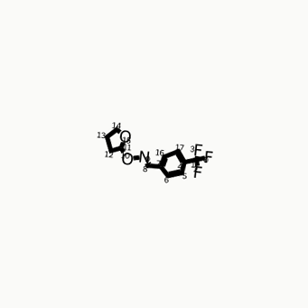 FC(F)(F)c1ccc(C=NOC2CCCO2)cc1